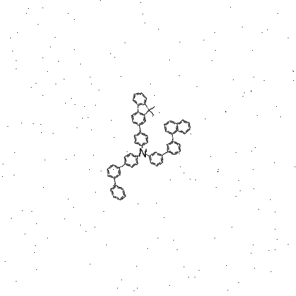 CC1(C)c2ccccc2-c2ccc(-c3ccc(N(c4ccc(-c5cccc(-c6ccccc6)c5)cc4)c4cccc(-c5cccc(-c6cccc7ccccc67)c5)c4)cc3)cc21